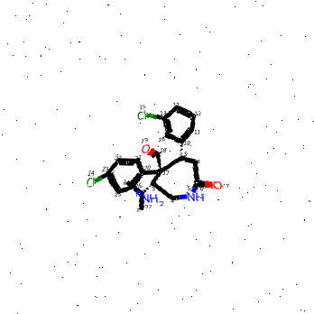 CC(C)[C@H]1CNC(=O)C[C@@H](c2cccc(Cl)c2)[C@@]1(C=O)c1ccc(Cl)cc1N